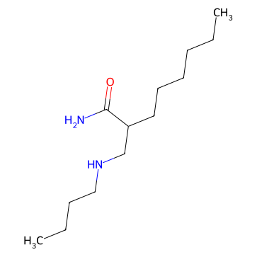 CCCCCCC(CNCCCC)C(N)=O